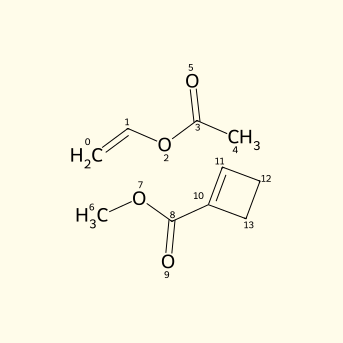 C=COC(C)=O.COC(=O)C1=CCC1